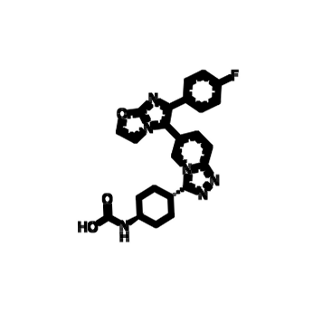 O=C(O)N[C@H]1CC[C@H](c2nnc3ccc(-c4c(-c5ccc(F)cc5)nc5occn45)cn32)CC1